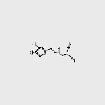 N#CC(C#N)=CNCCc1ccc(Cl)c(Cl)c1